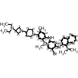 CCN(CC)C1CN(C2CCN(c3cc(OC)c(Nc4ncc(Br)c(Nc5ccc6nccnc6c5P(C)C)n4)cc3C)CC2)C1